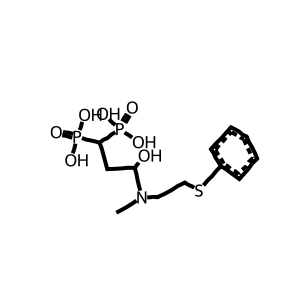 CN(CCSc1ccccc1)C(O)CC(P(=O)(O)O)P(=O)(O)O